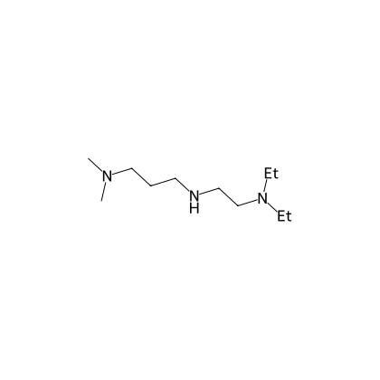 CCN(CC)CCNCCCN(C)C